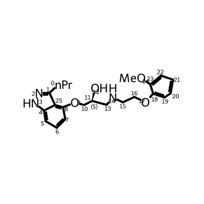 CCCc1n[nH]c2cccc(OC[C@@H](O)CNCCOc3ccccc3OC)c12